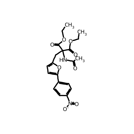 CCOC(=O)C(Cc1ccc(-c2ccc([N+](=O)[O-])cc2)o1)(NC(C)=O)C(=O)OCC